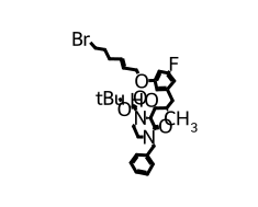 C[C@@H](Cc1cc(F)cc(OCC=CCCCBr)c1)[C@H](O)[C@H]1C(=O)N(Cc2ccccc2)CCN1C(=O)OC(C)(C)C